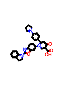 O=C(O)c1cn(-c2ccc3nc(N4CCc5ccccc54)oc3c2)c(-c2ccc(N3CCCC3)cc2)cc1=O